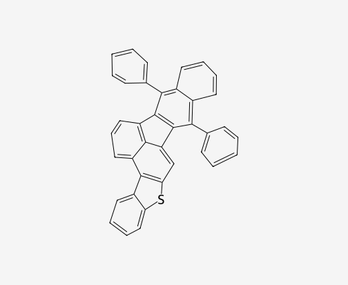 c1ccc(-c2c3c(c(-c4ccccc4)c4ccccc24)-c2cc4sc5ccccc5c4c4cccc-3c24)cc1